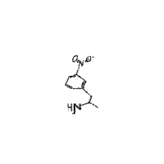 CNC(C)Cc1cccc([N+](=O)[O-])c1